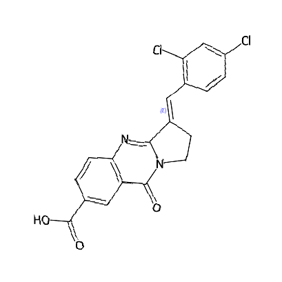 O=C(O)c1ccc2nc3n(c(=O)c2c1)CC/C3=C\c1ccc(Cl)cc1Cl